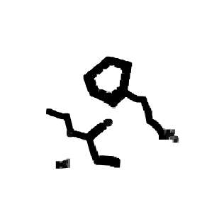 C=CC(=O)OCC.Cl.NCCc1ccccc1